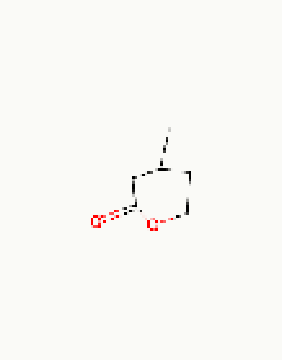 CC1CCOC(=O)C1